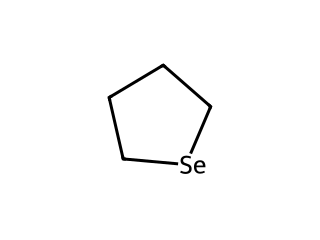 C1CC[Se]C1